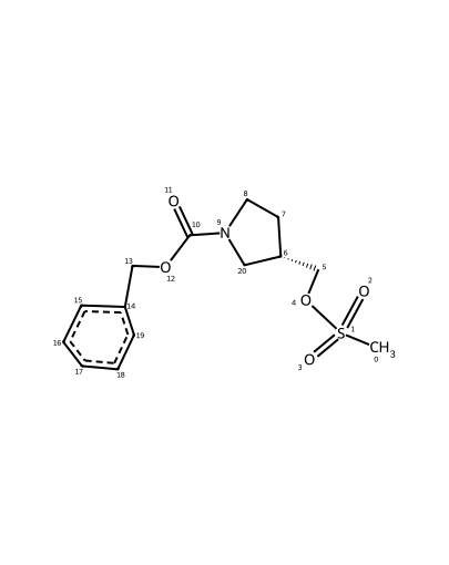 CS(=O)(=O)OC[C@H]1CCN(C(=O)OCc2ccccc2)C1